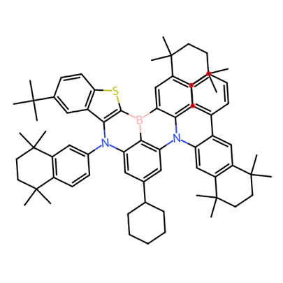 CC(C)(C)c1ccc2sc3c(c2c1)N(c1ccc2c(c1)C(C)(C)CCC2(C)C)c1cc(C2CCCCC2)cc2c1B3c1cc3c(cc1N2c1cc2c(cc1-c1ccccc1)C(C)(C)CCC2(C)C)C(C)(C)CCC3(C)C